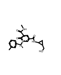 CNC(=O)c1cc(C(=O)NC2CC2CO)cn([C@@H](C)c2cccc(C)c2)c1=O